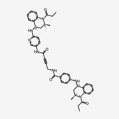 CCC(=O)N1c2ccccc2[C@H](Nc2ccc(C(=O)NCC#CC(=O)Nc3ccc(N[C@@H]4C[C@H](C)N(C(=O)CC)c5ccccc54)nc3)cc2)C[C@@H]1C